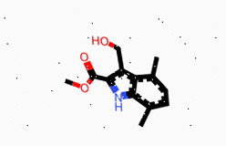 COC(=O)c1[nH]c2c(C)ccc(C)c2c1CO